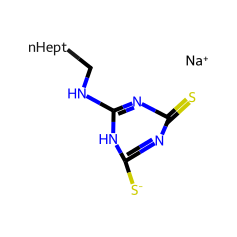 CCCCCCCCNc1nc(=S)nc([S-])[nH]1.[Na+]